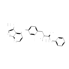 Cc1c[nH]c2nccc(Oc3ccc(CC(N)C(=O)Nc4ccccc4)cc3)c12